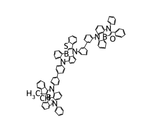 CC1(C)C2=C(c3ccccc31)N(c1ccc(-c3ccc(N4c5ccccc5B5c6sc7ccccc7c6N(c6cccc(-c7cccc(N8c9ccccc9B9c%10oc%11ccccc%11c%10N(c%10ccccc%10)c%10cccc8c%109)c7)c6)c6cccc4c65)cc3)cc1)c1cccc3c1B2c1ccccc1N3c1ccccc1